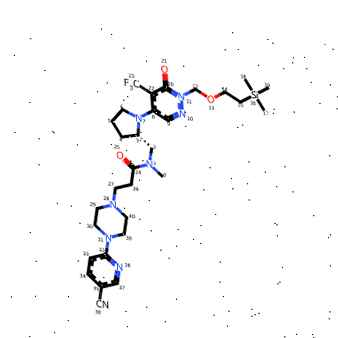 CN(C[C@@H]1CCCN1c1cnn(COCC[Si](C)(C)C)c(=O)c1C(F)(F)F)C(=O)CCN1CCN(c2ccc(C#N)cn2)CC1